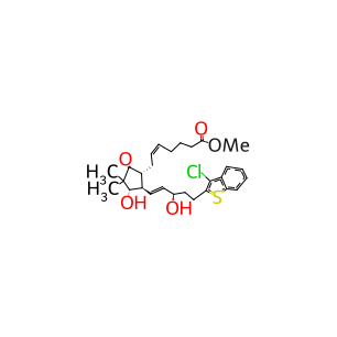 COC(=O)CCC/C=C\C[C@H]1C(=O)C(C)(C)[C@@H](O)[C@@H]1/C=C/[C@H](O)CCc1sc2ccccc2c1Cl